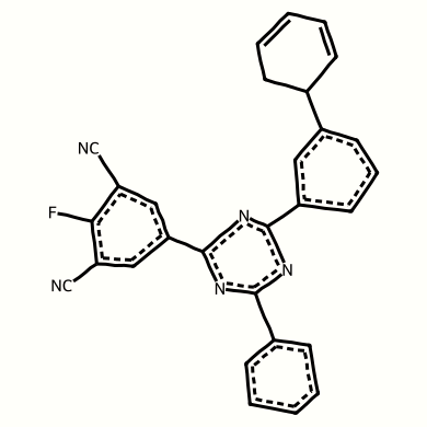 N#Cc1cc(-c2nc(-c3ccccc3)nc(-c3cccc(C4C=CC=CC4)c3)n2)cc(C#N)c1F